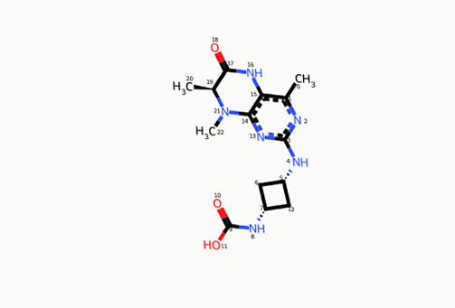 Cc1nc(N[C@H]2C[C@@H](NC(=O)O)C2)nc2c1NC(=O)[C@H](C)N2C